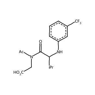 CC(=O)N(CC(=O)O)C(=O)C(Nc1cccc(C(F)(F)F)c1)C(C)C